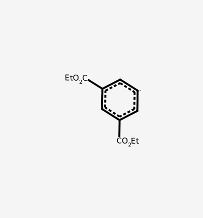 CCOC(=O)c1c[c]cc(C(=O)OCC)c1